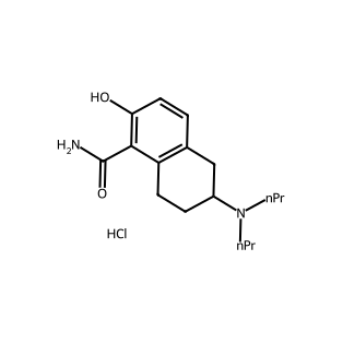 CCCN(CCC)C1CCc2c(ccc(O)c2C(N)=O)C1.Cl